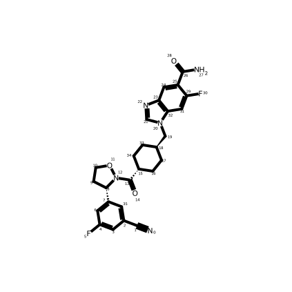 N#Cc1cc(F)cc([C@@H]2CCON2C(=O)[C@H]2CC[C@H](Cn3cnc4cc(C(N)=O)c(F)cc43)CC2)c1